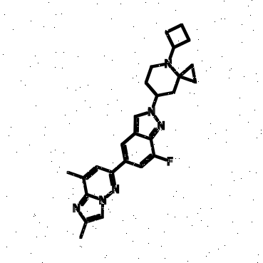 Cc1cn2nc(-c3cc(F)c4nn(C5CCN(C6CCC6)C6(CC6)C5)cc4c3)cc(C)c2n1